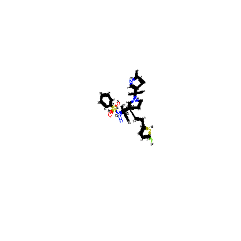 Cc1ccc(C(C)(C)N2CC[C@](CCc3ccc(F)s3)(C(C)(C)NS(=O)(=O)c3ccccc3)C2)cn1